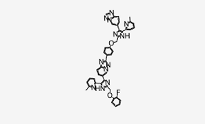 Cc1cccc(-c2[nH]c(COc3ccc(-c4nc5ccc(-c6nc(COc7ccccc7F)[nH]c6-c6cccc(C)n6)cn5n4)cc3)nc2-c2ccc3ncnn3c2)n1